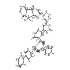 CC1(C)c2ccccc2-c2ccc(-c3cccc(-c4cccc(-c5cccc(-c6cc(-c7ccc(-c8cccnc8)cc7)nc(-c7ccccc7)n6)c5)c4)c3)cc21